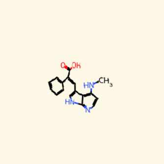 CNc1ccnc2[nH]cc(/C=C(/C(=O)O)c3ccccc3)c12